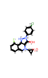 O.OC1=C2C(=c3c(F)cccc3=CN2C2CC2)NN1c1ccc(Cl)cc1